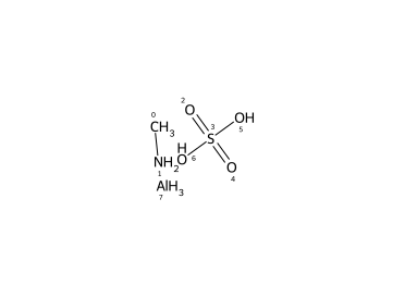 CN.O=S(=O)(O)O.[AlH3]